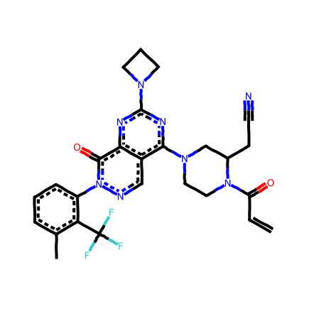 C=CC(=O)N1CCN(c2nc(N3CCC3)nc3c(=O)n(-c4cccc(C)c4C(F)(F)F)ncc23)CC1CC#N